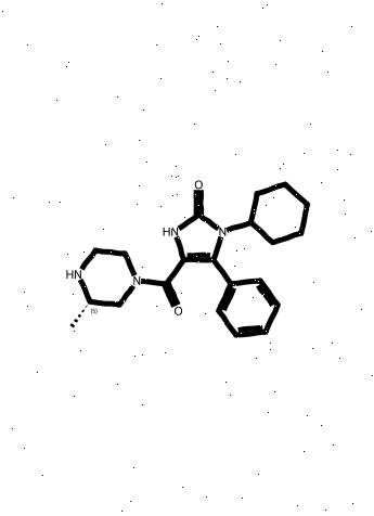 C[C@H]1CN(C(=O)c2[nH]c(=O)n(C3CCCCC3)c2-c2ccccc2)CCN1